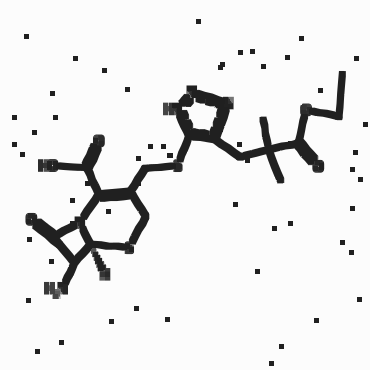 CCOC(=O)C(C)(C)Cc1nn[nH]c1SCC1=C(C(=O)O)N2C(=O)C(N)[C@@H]2SC1